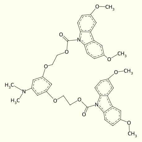 COc1ccc2c(c1)c1cc(OC)ccc1n2C(=O)OCCOc1cc(OCCOC(=O)n2c3ccc(OC)cc3c3cc(OC)ccc32)cc(N(C)C)c1